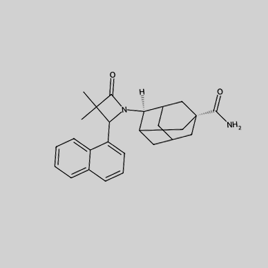 CC1(C)C(=O)N([C@H]2C3CC4CC2C[C@](C(N)=O)(C4)C3)C1c1cccc2ccccc12